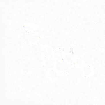 O=C1CC(C(=O)Nc2nncs2)CC2=C1C(c1ccccc1Cl)N=C(Nc1nc3ccccc3o1)N2